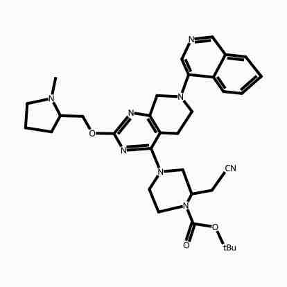 CN1CCCC1COc1nc2c(c(N3CCN(C(=O)OC(C)(C)C)C(CC#N)C3)n1)CCN(c1cncc3ccccc13)C2